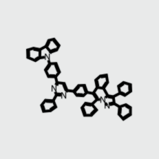 c1ccc(-c2nc(-c3ccc(-c4c(-c5ccccc5)n5nc(-c6ccccc6)c(-c6ccccc6)c5c5ccccc45)cc3)cc(-c3ccc(-n4c5ccccc5c5ccccc54)cc3)n2)cc1